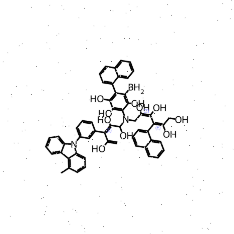 Bc1c(O)c(N(C/C(O)=C(O)\C(=C(\O)CO)c2cccc3ccccc23)C(O)/C(O)=C(\C(=C)O)c2cccc(-n3c4ccccc4c4c(C)cccc43)c2)c(O)c(O)c1-c1cccc2ccccc12